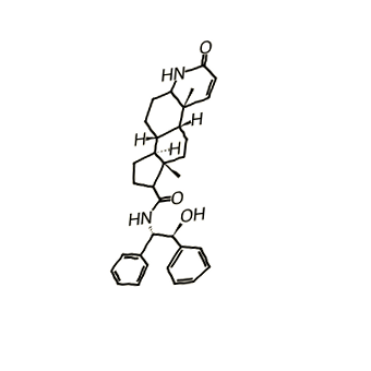 C[C@]12C=CC(=O)NC1CC[C@@H]1[C@H]2CC[C@]2(C)C(C(=O)N[C@@H](c3ccccc3)[C@@H](O)c3ccccc3)CC[C@@H]12